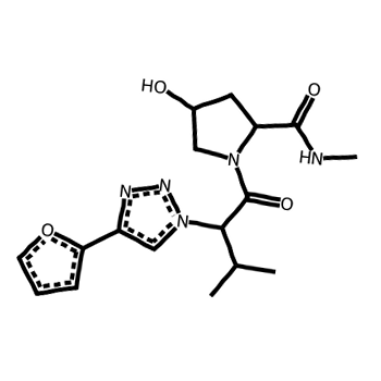 CNC(=O)C1CC(O)CN1C(=O)C(C(C)C)n1cc(-c2ccco2)nn1